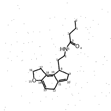 CCCC(=O)NCCC1CC=C2CC=C3OCCC3=C21